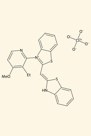 CCc1c(OC)ccnc1-[n+]1c(C=C2Nc3ccccc3S2)sc2ccccc21.[O-][Cl+3]([O-])([O-])[O-]